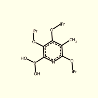 Cc1c(OC(C)C)nc(B(O)O)c(OC(C)C)c1OC(C)C